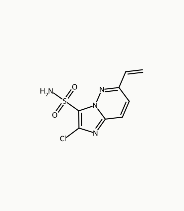 C=Cc1ccc2nc(Cl)c(S(N)(=O)=O)n2n1